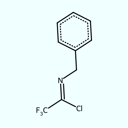 FC(F)(F)C(Cl)=NCc1ccccc1